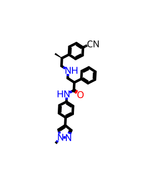 C[C@H](CNCC(C(=O)Nc1ccc(-c2cnn(C)c2)cc1)c1ccccc1)c1ccc(C#N)cc1